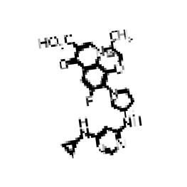 C[C@H]1COc2c(N3CC[C@H](Nc4cc(NC5CC5)ncn4)C3)c(F)cc3c(=O)c(C(=O)O)cn1c23